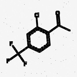 CC(=O)c1ccc(C(F)(F)F)cc1Cl